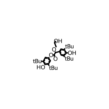 CC(C)(C)c1cc(OC(=O)C(OCCO)c2cc(C(C)(C)C)c(O)c(C(C)(C)C)c2)cc(C(C)(C)C)c1O